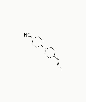 CC=C[C@H]1CC[C@H]([C@H]2CC[C@H](C#N)CC2)CC1